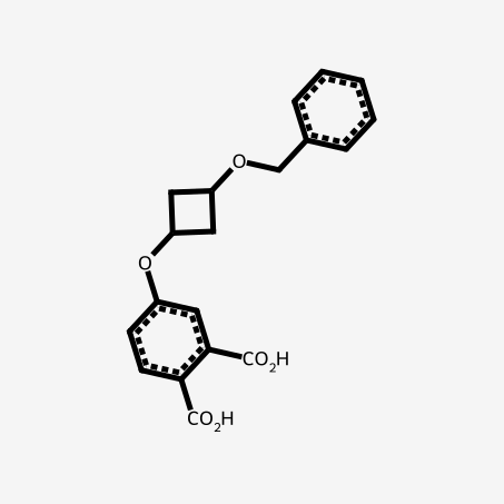 O=C(O)c1ccc(OC2CC(OCc3ccccc3)C2)cc1C(=O)O